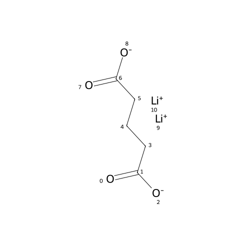 O=C([O-])CCCC(=O)[O-].[Li+].[Li+]